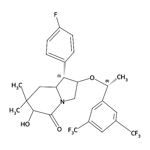 C[C@@H](OC1CN2C(=O)C(O)C(C)(C)CC2[C@@H]1c1ccc(F)cc1)c1cc(C(F)(F)F)cc(C(F)(F)F)c1